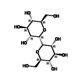 OC[C@H]1O[C@H](C2O[C@H](CO)[C@@H](O)[C@H](O)[C@H]2O)[C@H](O)[C@@H](O)[C@@H]1O